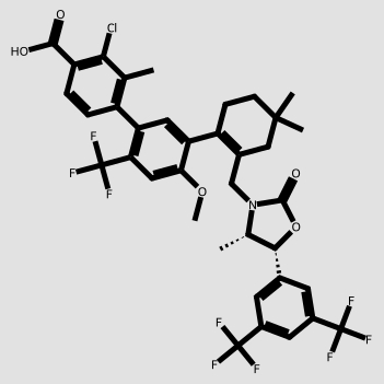 COc1cc(C(F)(F)F)c(-c2ccc(C(=O)O)c(Cl)c2C)cc1C1=C(CN2C(=O)O[C@H](c3cc(C(F)(F)F)cc(C(F)(F)F)c3)[C@@H]2C)CC(C)(C)CC1